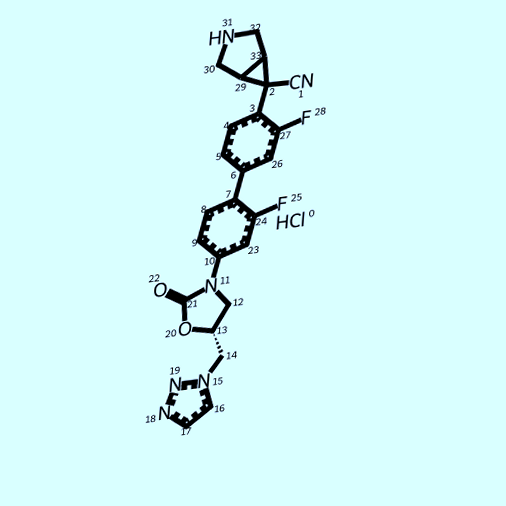 Cl.N#CC1(c2ccc(-c3ccc(N4C[C@H](Cn5ccnn5)OC4=O)cc3F)cc2F)C2CNCC21